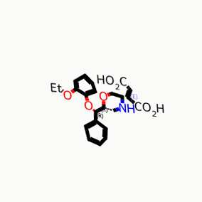 CCOc1ccccc1O[C@H](c1ccccc1)[C@H]1CNCCO1.O=C(O)/C=C/C(=O)O